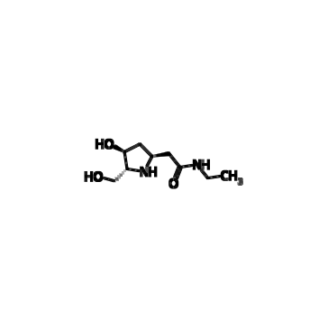 CCNC(=O)C[C@@H]1C[C@H](O)[C@@H](CO)N1